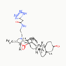 CC1=C2C[C@H]3[C@@H](CC[C@@H]4CC(=O)CC[C@@]43C)[C@@H]2CC[C@]12O[C@@H]1C[C@H](C)CN(CCNC(=O)Cc3nnn[nH]3)[C@H]1[C@H]2C